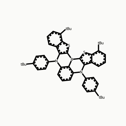 CC(C)(C)c1ccc(N2c3cccc4c3B(c3sc5c(C(C)(C)C)cccc5c32)c2sc3c(C(C)(C)C)cccc3c2N4c2ccc(C(C)(C)C)cc2)cc1